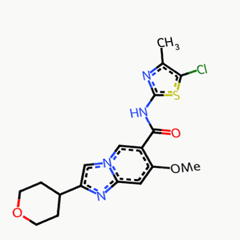 COc1cc2nc(C3CCOCC3)cn2cc1C(=O)Nc1nc(C)c(Cl)s1